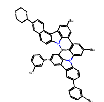 CC(C)(C)c1cccc(-c2ccc3c(c2)c2cc(-c4cccc(C(C)(C)C)c4)cc4c2n3-c2cc(C(C)(C)C)cc3c2B4n2c4ccc5cc(C6CCCCC6)ccc5c4c4cc(C(C)(C)C)cc-3c42)c1